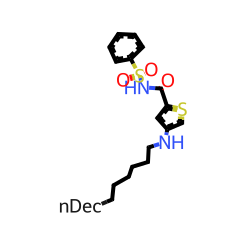 CCCCCCCCCCCCCCCCNc1csc(C(=O)NS(=O)(=O)c2ccccc2)c1